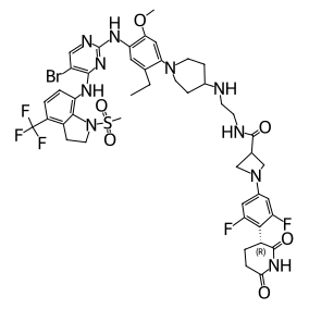 CCc1cc(Nc2ncc(Br)c(Nc3ccc(C(F)(F)F)c4c3N(S(C)(=O)=O)CC4)n2)c(OC)cc1N1CCC(NCCNC(=O)C2CN(c3cc(F)c([C@H]4CCC(=O)NC4=O)c(F)c3)C2)CC1